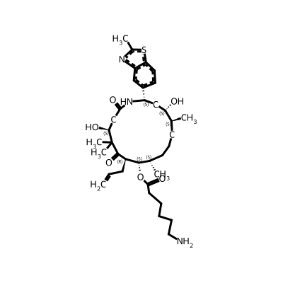 C=CC[C@H]1C(=O)C(C)(C)[C@@H](O)CC(=O)N[C@H](c2ccc3sc(C)nc3c2)C[C@H](O)[C@@H](C)CCC[C@H](C)[C@@H]1OC(=O)CCCCCN